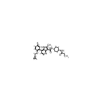 CCC(=O)N[C@H]1CC[C@H](NC(=O)c2c(C)[nH]c3c(-c4cc(F)ccc4OCC4CC4)ccnc23)CC1